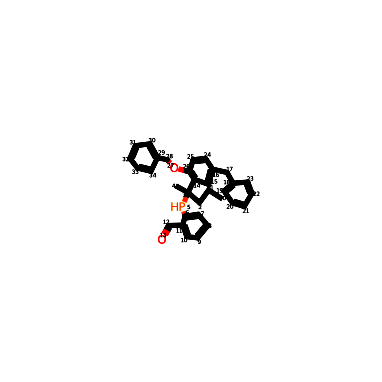 CCCC(C)(Pc1ccccc1C=O)c1cc(Cc2ccccc2)ccc1OCc1ccccc1